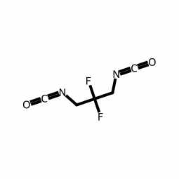 O=C=NCC(F)(F)CN=C=O